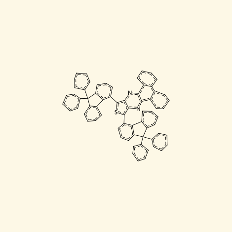 c1ccc(C2(c3ccccc3)c3ccccc3-c3c(-c4sc(-c5cccc6c5-c5ccccc5C6(c5ccccc5)c5ccccc5)c5nc6c7ccccc7c7ccccc7c6nc45)cccc32)cc1